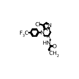 C=CC(=O)NC[C@@H]1CN(c2ccc(C(F)(F)F)cc2)c2c(Cl)cnn2C1